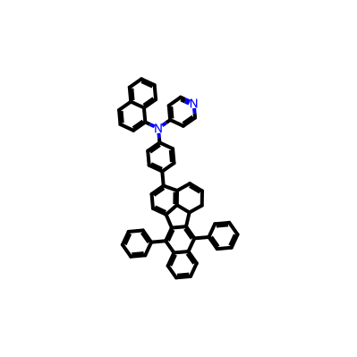 C1=Cc2c(-c3ccc(N(c4ccncc4)c4cccc5ccccc45)cc3)ccc3c2C(C1)c1c-3c(-c2ccccc2)c2ccccc2c1-c1ccccc1